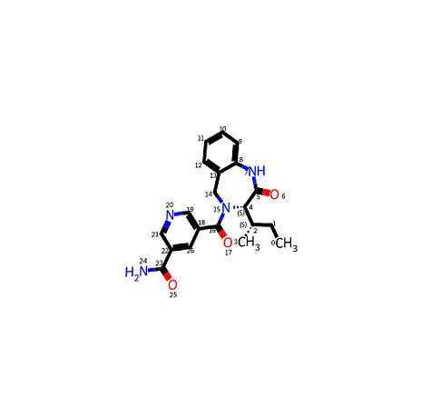 CC[C@H](C)[C@H]1C(=O)Nc2ccccc2CN1C(=O)c1cncc(C(N)=O)c1